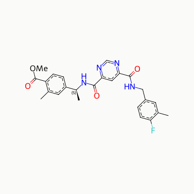 COC(=O)c1ccc([C@H](C)NC(=O)c2cc(C(=O)NCc3ccc(F)c(C)c3)ncn2)cc1C